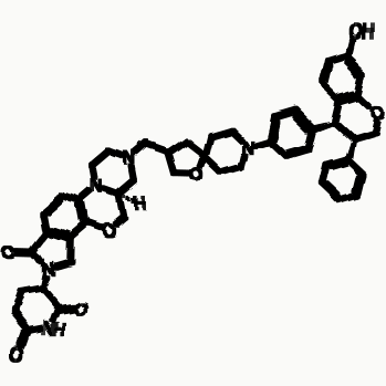 O=C1CC[C@@H](N2Cc3c(ccc4c3OC[C@@H]3CN(CC5COC6(CCN(c7ccc([C@H]8c9ccc(O)cc9OC[C@H]8c8ccccc8)cc7)CC6)C5)CCN43)C2=O)C(=O)N1